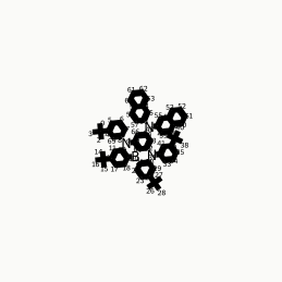 CC(C)(C)c1cccc(N2c3cc(C(C)(C)C)ccc3B3c4ccc(C(C)(C)C)cc4N(c4cccc(C(C)(C)C)c4)c4cc(N(c5ccc6ccccc6c5)c5ccc6ccccc6c5)cc2c43)c1